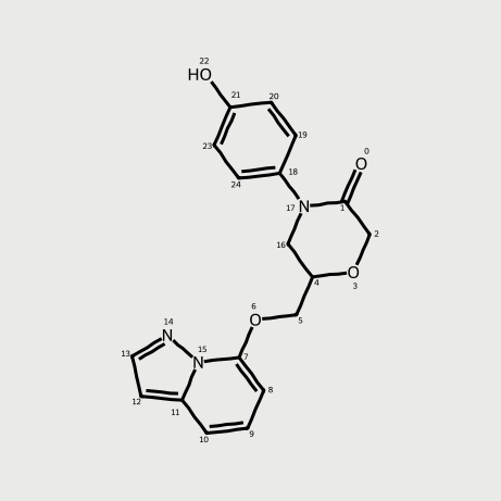 O=C1COC(COc2cccc3ccnn23)CN1c1ccc(O)cc1